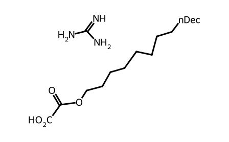 CCCCCCCCCCCCCCCCCCOC(=O)C(=O)O.N=C(N)N